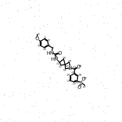 COc1ccc(CNC(=O)NC2CC3(C2)CN(C(=O)c2cccc(S(C)(=O)=O)c2)C3)cc1